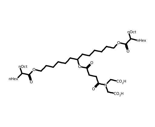 CCCCCCCCC(CCCCCC)C(=O)OCCCCCCC(CCCCCCOC(=O)C(CCCCCC)CCCCCCCC)OC(=O)CCC(=O)N(CC(=O)O)CC(=O)O